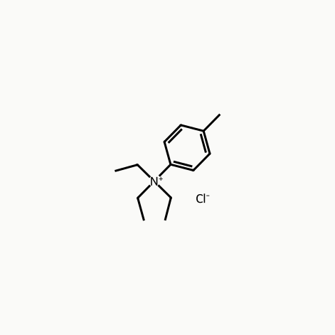 CC[N+](CC)(CC)c1ccc(C)cc1.[Cl-]